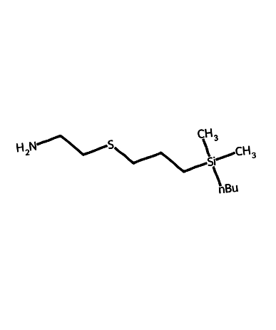 CCCC[Si](C)(C)CCCSCCN